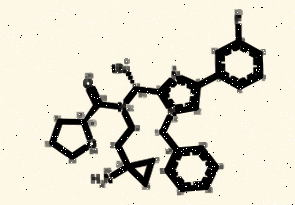 CC(C)(C)[C@H](c1nc(-c2cccc(F)c2)cn1Cc1ccccc1)N(CCC1(N)CC1)C(=O)[C@@H]1CCCO1